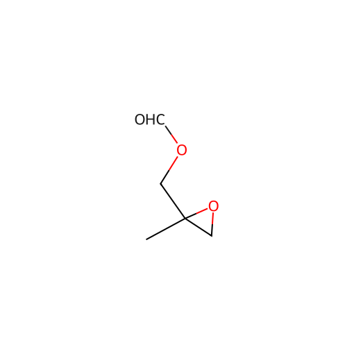 CC1(COC=O)CO1